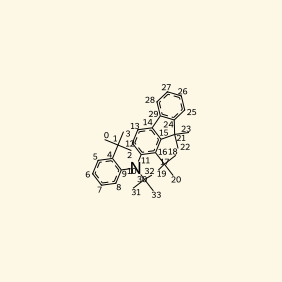 CC(C)(C)c1ccccc1N(c1ccc2c(c1C(C)(C)C)C(C)(C)c1ccccc1-2)C(C)(C)C